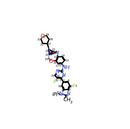 Cc1nc2c(F)cc(-c3nc(Nc4ccc5c(c4)OC[C@]46CC4N5CCN(C4CCOCC4)C6)ncc3F)cc2n1C(C)C